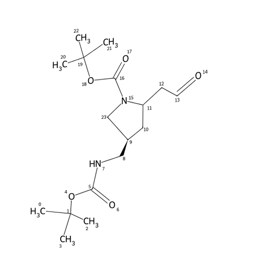 CC(C)(C)OC(=O)NC[C@@H]1CC(CC=O)N(C(=O)OC(C)(C)C)C1